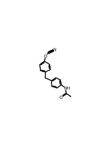 CC(=O)Nc1ccc(Cc2ccc(OC#N)cc2)cc1